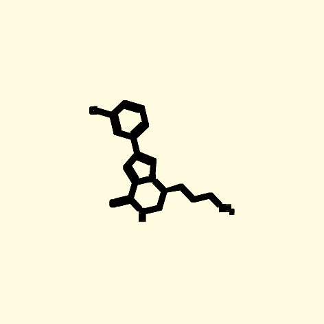 NCCC[C@H]1CNC(=O)c2cc(-c3cccc(Cl)c3)cn21